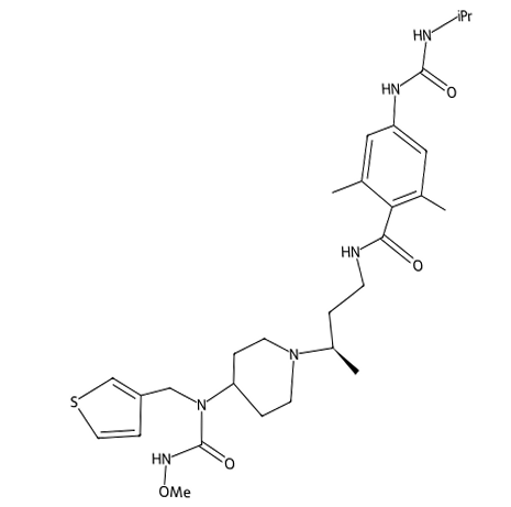 CONC(=O)N(Cc1ccsc1)C1CCN([C@H](C)CCNC(=O)c2c(C)cc(NC(=O)NC(C)C)cc2C)CC1